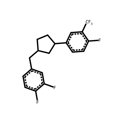 Fc1ccc(CC2CCC(c3ccc(F)c(C(F)(F)F)c3)C2)cc1F